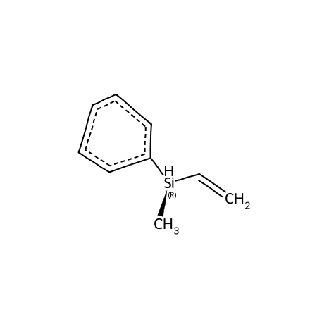 C=C[Si@@H](C)c1ccccc1